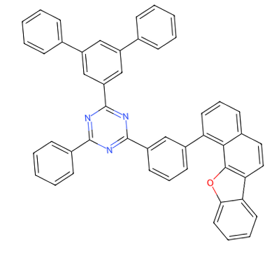 c1ccc(-c2cc(-c3ccccc3)cc(-c3nc(-c4ccccc4)nc(-c4cccc(-c5cccc6ccc7c8ccccc8oc7c56)c4)n3)c2)cc1